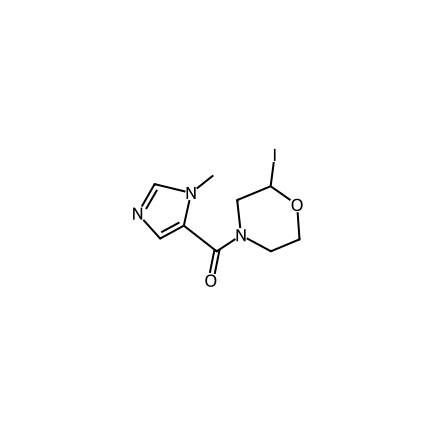 Cn1cncc1C(=O)N1CCOC(I)C1